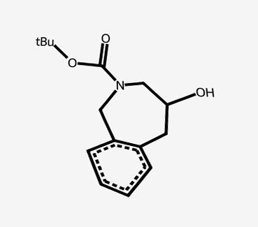 CC(C)(C)OC(=O)N1Cc2ccccc2CC(O)C1